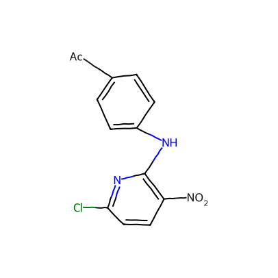 CC(=O)c1ccc(Nc2nc(Cl)ccc2[N+](=O)[O-])cc1